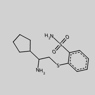 NC(CSc1ccccc1S(N)(=O)=O)C1CCCC1